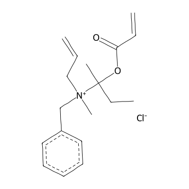 C=CC[N+](C)(Cc1ccccc1)C(C)(CC)OC(=O)C=C.[Cl-]